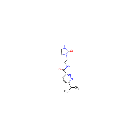 CC(C)c1ccc(C(=O)NCCN2CCNC2=O)nn1